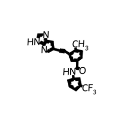 Cc1ccc(C(=O)Nc2cccc(C(F)(F)F)c2)cc1C#Cc1cnc2[nH]cnc2c1